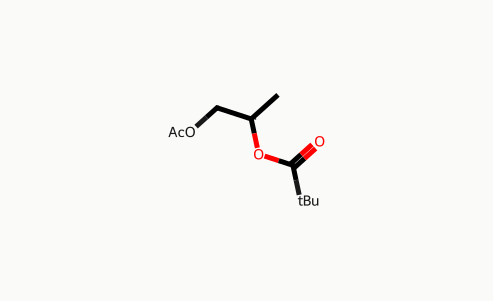 C[C](COC(C)=O)OC(=O)C(C)(C)C